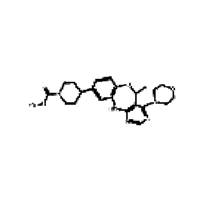 CC1Oc2ccc(C3CCN(C(=O)OC(C)(C)C)CC3)cc2Nc2ncnc(N3CCOCC3)c21